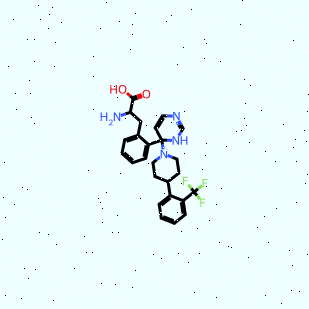 NC(Cc1ccccc1C1(N2CCC(c3ccccc3C(F)(F)F)CC2)C=CN=CN1)C(=O)O